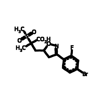 CC(CC1CC(c2ccc(Br)cc2F)=NO1)(C(=O)O)S(C)(=O)=O